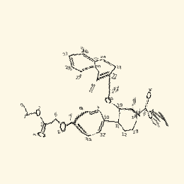 CCOC(=O)COc1ccc(C2CCN(C(=O)O)CC2OCc2ccc3ccccc3c2)cc1